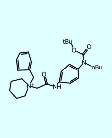 CCCCN(C(=O)OC(C)(C)C)c1ccc(NC(=O)C[N+]2(Cc3ccccc3)CCCCC2)cc1